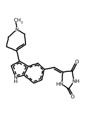 CN1CC=C(c2c[nH]c3ccc(/C=C4\NC(=O)NC4=O)cc23)CC1